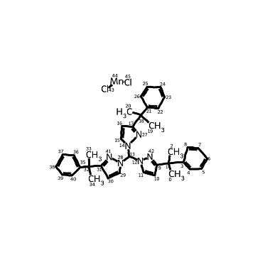 CC(C)(c1ccccc1)c1ccn(C(n2ccc(C(C)(C)c3ccccc3)n2)n2ccc(C(C)(C)c3ccccc3)n2)n1.[Cl][Mn][Cl]